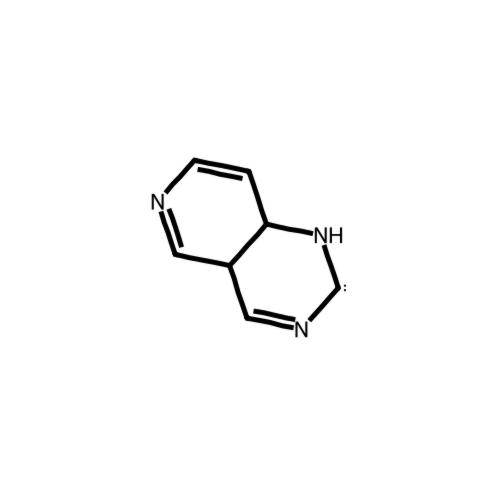 [C]1N=CC2C=NC=CC2N1